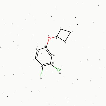 Fc1ccc(OC2CCC2)cc1Br